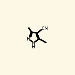 Cc1n[nH]c(C)c1C#N